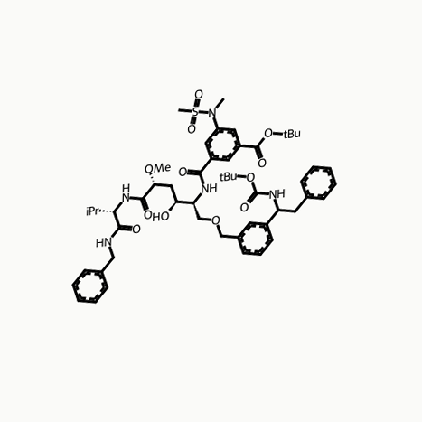 CO[C@H](C[C@H](O)[C@H](COCc1cccc(C(Cc2ccccc2)NC(=O)OC(C)(C)C)c1)NC(=O)c1cc(C(=O)OC(C)(C)C)cc(N(C)S(C)(=O)=O)c1)C(=O)N[C@H](C(=O)NCc1ccccc1)C(C)C